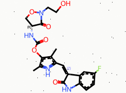 Cc1[nH]c(/C=C2\C(=O)Nc3ccc(F)cc32)c(C)c1OC(=O)N[C@@H]1CON(CCO)C1=O